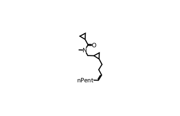 CCCCC/C=C\CCC1CC1CN(C)C(=O)C1CC1